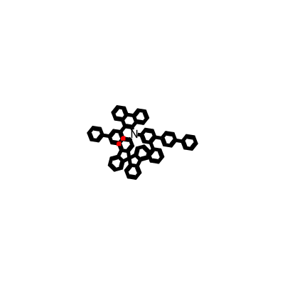 c1ccc(-c2ccc(-c3ccc(N(c4ccc5c(c4)C4(c6ccccc6-c6ccccc64)c4ccccc4-5)c4c(-c5cccc(-c6ccccc6)c5)c5ccccc5c5ccccc45)cc3-c3ccccc3)cc2)cc1